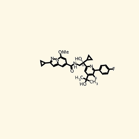 COc1cc(C(=O)NC[C@](O)(c2cc(C(C)(C)O)c(F)c(-c3ccc(F)cc3)n2)C2CC2)cc2cc(C3CC3)nn12